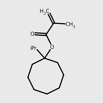 C=C(C)C(=O)OC1(C(C)C)CCCCCCC1